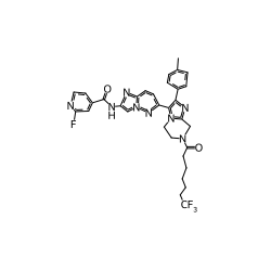 Cc1ccc(-c2nc3n(c2-c2ccc4nc(NC(=O)c5ccnc(F)c5)cn4n2)CCN(C(=O)CCCCCC(F)(F)F)C3)cc1